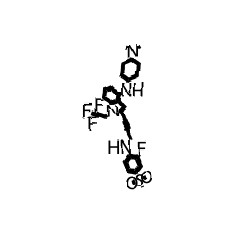 CN(C)C1CCC(Nc2cccc3c2cc(C#CCNc2ccc(S(C)(=O)=O)cc2F)n3CC(F)(F)F)CC1